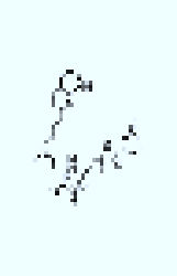 CN(CCCCc1ccc2c(n1)NCCC2)CC[C@H](NC(=O)C1CN(S(=O)(=O)c2cccc(Cl)c2)C1)C(=O)O